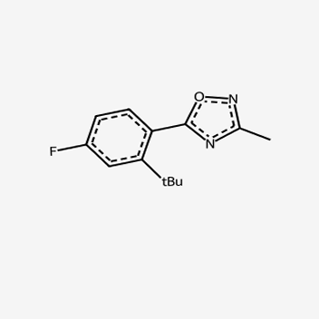 Cc1noc(-c2ccc(F)cc2C(C)(C)C)n1